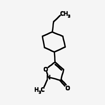 CCC1CCC(c2cc(=O)n(C)o2)CC1